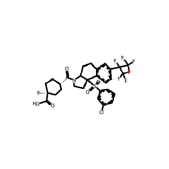 O=C([C@H]1CC[C@](F)(C(=O)O)CC1)N1CCC2(S(=O)(=O)c3cccc(Cl)c3)c3ccc(C(F)(C(F)(F)F)C(F)(F)F)cc3CCC12